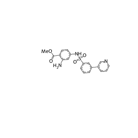 COC(=O)c1ccc(NS(=O)(=O)c2cccc(-c3cccnc3)c2)cc1N